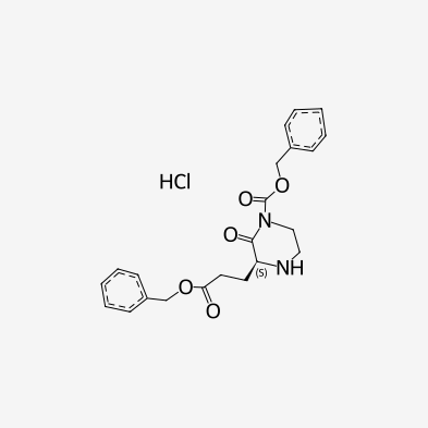 Cl.O=C(CC[C@@H]1NCCN(C(=O)OCc2ccccc2)C1=O)OCc1ccccc1